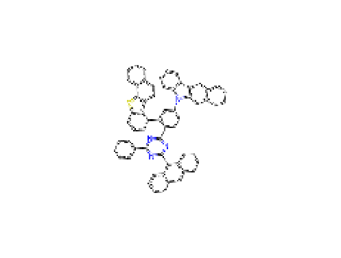 c1ccc(-c2nc(-c3ccc(-n4c5ccccc5c5cc6ccccc6cc54)cc3-c3cccc4sc5c6ccccc6ccc5c34)nc(-c3c4ccccc4cc4ccccc34)n2)cc1